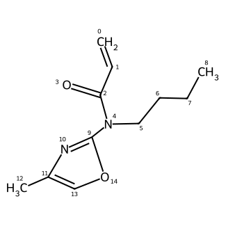 C=CC(=O)N(CCCC)c1nc(C)co1